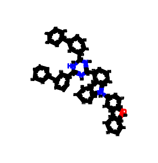 c1ccc(-c2cccc(C3=NC(c4cccc5c4c4ccccc4n5-c4ccc5oc6ccccc6c5c4)=NC(c4cccc(-c5ccccc5)c4)N3)c2)cc1